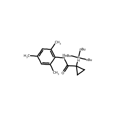 CCCC[PH](CCCC)(CCCC)C1(C(=O)Nc2c(C)cc(C)cc2C)CC1